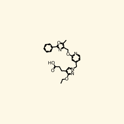 CCOc1nn(Cc2ccnc(OCc3nc(-c4ccccc4)oc3C)c2)cc1CCC(=O)O